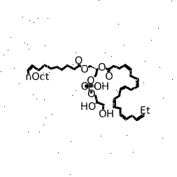 CC/C=C\C/C=C\C/C=C\C/C=C\C/C=C\C/C=C\CCC(=O)O[C@H](COC(=O)CCCCCCC/C=C\CCCCCCCC)COP(=O)(O)OC[C@@H](O)CO